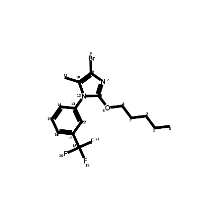 CCCCCOc1nc(Br)c(C)n1-c1cccc(C(F)(F)F)c1